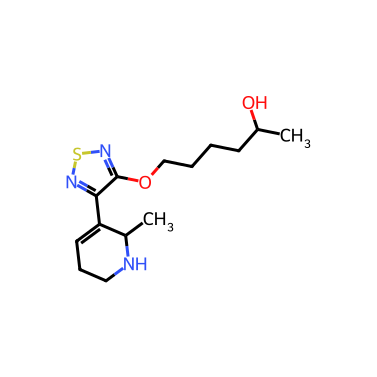 CC(O)CCCCOc1nsnc1C1=CCCNC1C